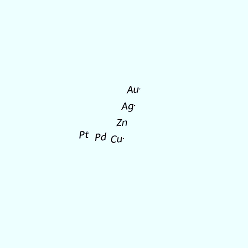 [Ag].[Au].[Cu].[Pd].[Pt].[Zn]